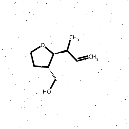 C=CC(C)[C@@H]1OCC[C@H]1CO